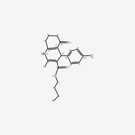 CCCCOC(=O)C1=C(C)NC2=C(C(=O)CCC2)C1c1ccc(Cl)cc1